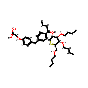 CCCCOC[C@H]1S[C@@H](c2cccc(Cc3ccc(OCC(=O)O)cc3)c2)[C@H](OCCCC)[C@@H](OCCCC)[C@@H]1OCCCC